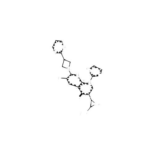 O=c1c(C2OC2O)cn(-c2nccs2)c2nc(N3CC(c4ncccn4)C3)c(F)cc12